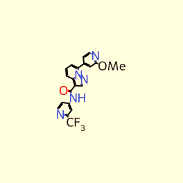 COc1cc(-c2cccc3c(C(=O)Nc4ccnc(C(F)(F)F)c4)cnn23)ccn1